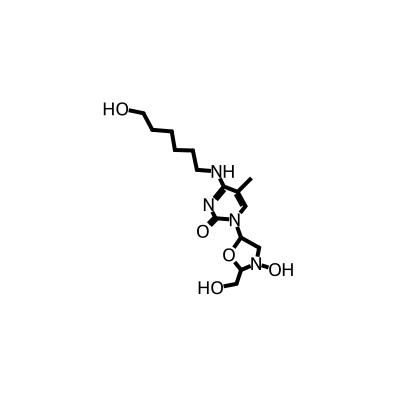 Cc1cn(C2CN(O)C(CO)O2)c(=O)nc1NCCCCCCO